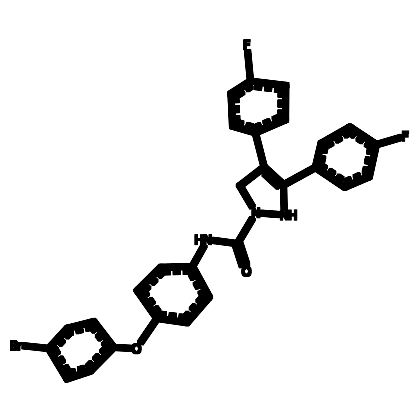 O=C(Nc1ccc(Oc2ccc(Br)cc2)cc1)N1CC(c2ccc(F)cc2)=C(c2ccc(F)cc2)N1